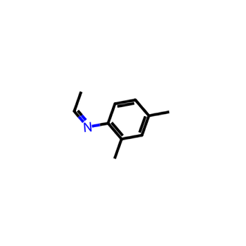 C/C=N\c1ccc(C)cc1C